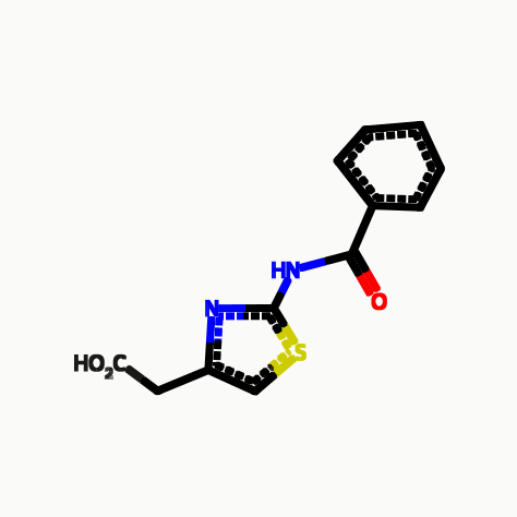 O=C(O)Cc1csc(NC(=O)c2ccccc2)n1